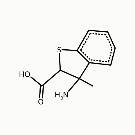 CC1(N)c2ccccc2SC1C(=O)O